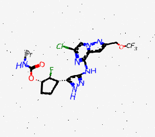 CC(C)NC(=O)O[C@H]1CC[C@@H](c2cc(Nc3nc(Cl)cn4nc(COC(F)(F)F)cc34)n[nH]2)[C@@H]1F